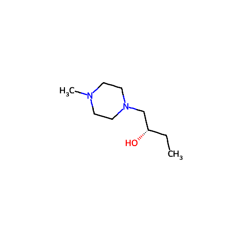 CC[C@H](O)CN1CCN(C)CC1